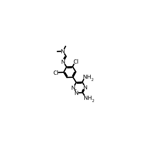 CN(C)/C=N/c1c(Cl)cc(-c2nnc(N)nc2N)cc1Cl